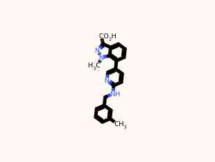 Cc1cccc(CNc2ccc(-c3cccc4c(C(=O)O)nn(C)c34)cn2)c1